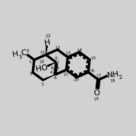 CC1CC[C@]23CCCC[C@@]2(O)[C@H]1Cc1ccc(C(N)=O)cc13